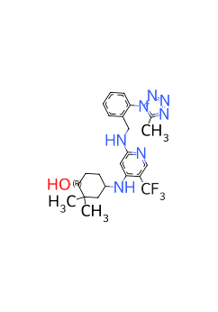 Cc1nnnn1-c1ccccc1CNc1cc(NC2CC[C@@H](O)C(C)(C)C2)c(C(F)(F)F)cn1